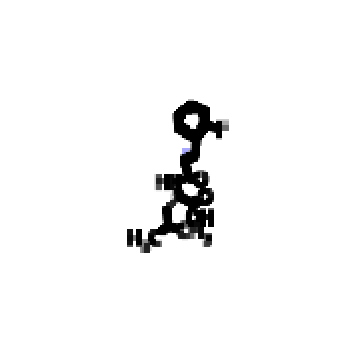 CC(C)C[C@H](NC(=O)/C=C/c1ccccc1F)C(=O)O